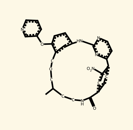 CC1CCNC(=O)c2ccc(c([N+](=O)[O-])c2)-c2ccnc(n2)Nc2ccc(Oc3cccnc3)c(c2)COC1